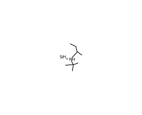 CCC(C)NC(C)(C)C.[SiH4]